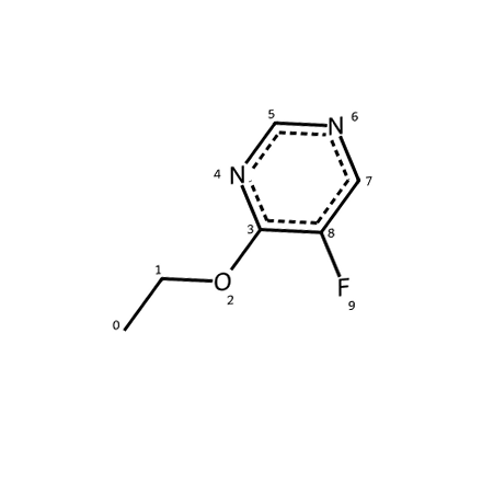 CCOc1ncncc1F